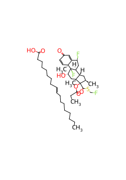 CCC(=O)O[C@]1(C(=O)SCF)[C@H](C)C[C@H]2[C@@H]3C[C@H](F)C4=CC(=O)C=C[C@]4(C)[C@@]3(F)[C@@H](O)C[C@@]21C.CCCCCCCC/C=C/CCCCCCCC(=O)O